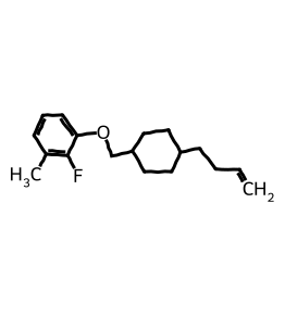 C=CCCC1CCC(COc2cccc(C)c2F)CC1